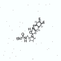 CC(C)(C)C(=O)NCC1CCCN1C(=O)C[C@H](N)Cc1cc(F)c(F)cc1F